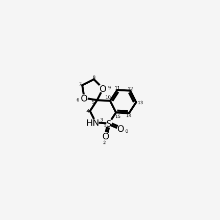 O=S1(=O)NCC2(OCCO2)c2ccccc21